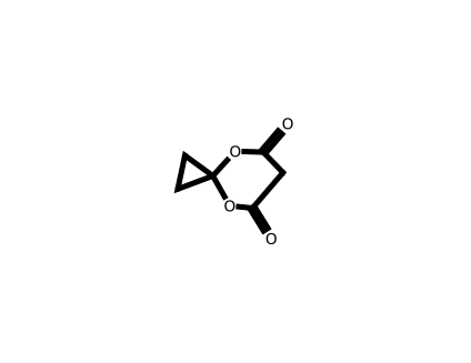 O=C1CC(=O)OC2(CC2)O1